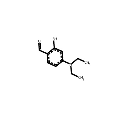 CCN(CC)c1ccc(C=O)c(S)c1